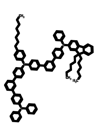 CCCCCCCCc1ccc(N(c2ccc(-c3cccc(-c4ccc(N(c5ccccc5)c5ccccc5)cc4)c3)cc2)c2ccc(-c3cccc(-c4ccc(N(c5ccccc5)c5ccc6c(c5)C(CCCCCC)(CCCCCC)c5ccccc5-6)cc4)c3)cc2)cc1